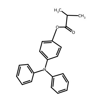 CC(C)C(=O)Oc1ccc(N(c2ccccc2)c2ccccc2)cc1